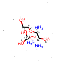 N.N.N.OB(O)O.OCCOCCO